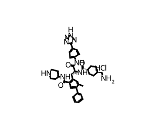 Cc1cc(C[C@H](NC(=O)[C@H]2CC[C@H](CN)CC2)C(=O)Nc2ccc(-c3nn[nH]n3)cc2)c(C(=O)NC2CCNCC2)cc1-c1ccccc1.Cl